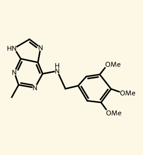 COc1cc(CNc2nc(C)nc3[nH]cnc23)cc(OC)c1OC